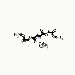 NOC(=O)COC(=O)/C=C/C(=O)OCC(=O)ON.[CaH2].[CaH2]